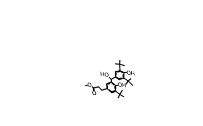 COC(=O)CCc1cc(C(O)c2cc(C(C)(C)C)c(O)c(C(C)(C)C)c2)c(O)c(C(C)(C)C)c1